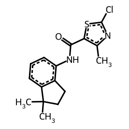 Cc1nc(Cl)sc1C(=O)Nc1cccc2c1CCC2(C)C